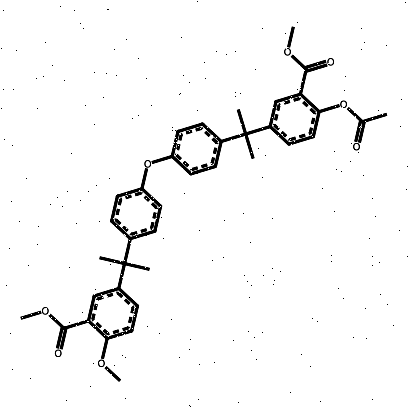 COC(=O)c1cc(C(C)(C)c2ccc(Oc3ccc(C(C)(C)c4ccc(OC(C)=O)c(C(=O)OC)c4)cc3)cc2)ccc1OC